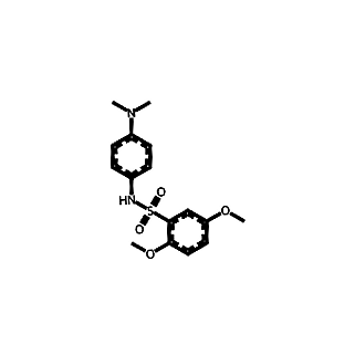 COc1ccc(OC)c(S(=O)(=O)Nc2ccc(N(C)C)cc2)c1